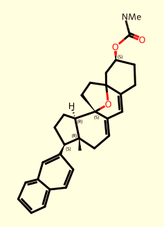 CNC(=O)O[C@H]1CCC2=CC3=CC[C@]4(C)[C@@H](c5ccc6ccccc6c5)CC[C@H]4[C@@]34CCC2(C1)O4